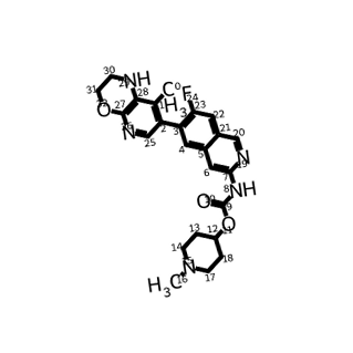 Cc1c(-c2cc3cc(NC(=O)OC4CCN(C)CC4)ncc3cc2F)cnc2c1NCCO2